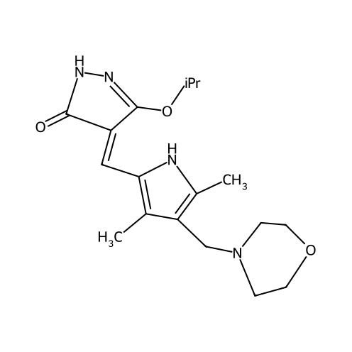 Cc1[nH]c(C=C2C(=O)NN=C2OC(C)C)c(C)c1CN1CCOCC1